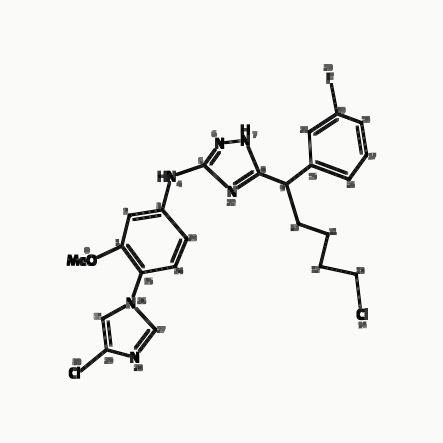 COc1cc(Nc2n[nH]c(C(CCCCCl)c3cccc(F)c3)n2)ccc1-n1cnc(Cl)c1